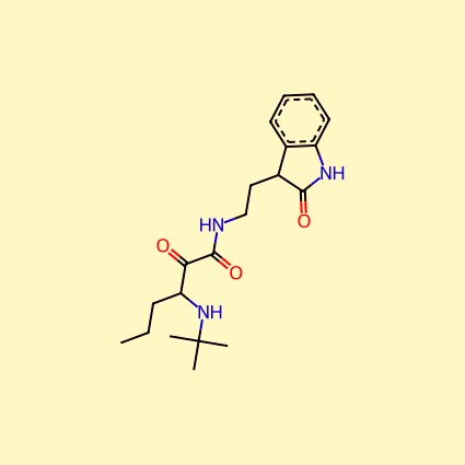 CCCC(NC(C)(C)C)C(=O)C(=O)NCCC1C(=O)Nc2ccccc21